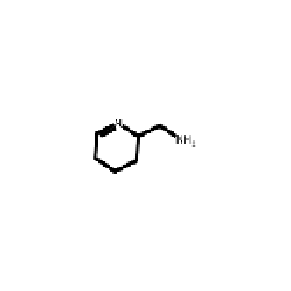 NCC1CCCC=N1